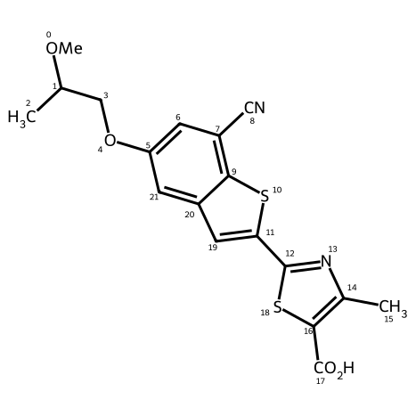 COC(C)COc1cc(C#N)c2sc(-c3nc(C)c(C(=O)O)s3)cc2c1